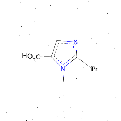 CC(C)c1ncc(C(=O)O)n1C